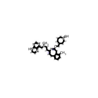 Cc1cccc2c1C/C(OCC1CCCN(S)CC1)=N\C(CCN(C)Cc1ncnc3c1N=CCN3)=C/C2